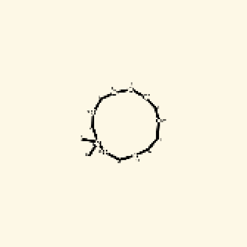 C[Si]1(C)COCCOCCOCCOCO1